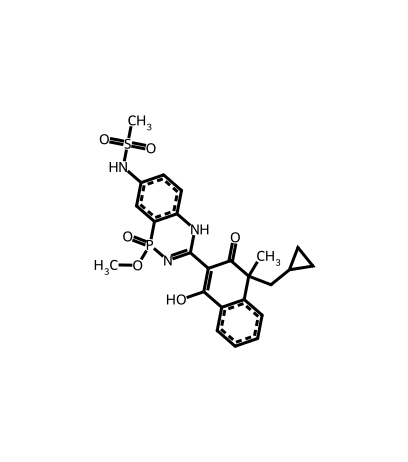 COP1(=O)N=C(C2=C(O)c3ccccc3C(C)(CC3CC3)C2=O)Nc2ccc(NS(C)(=O)=O)cc21